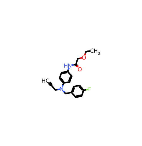 C#CCN(Cc1ccc(F)cc1)c1ccc(NC(=O)COCC)cc1